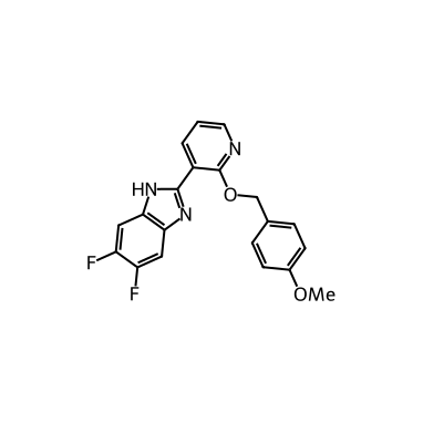 COc1ccc(COc2ncccc2-c2nc3cc(F)c(F)cc3[nH]2)cc1